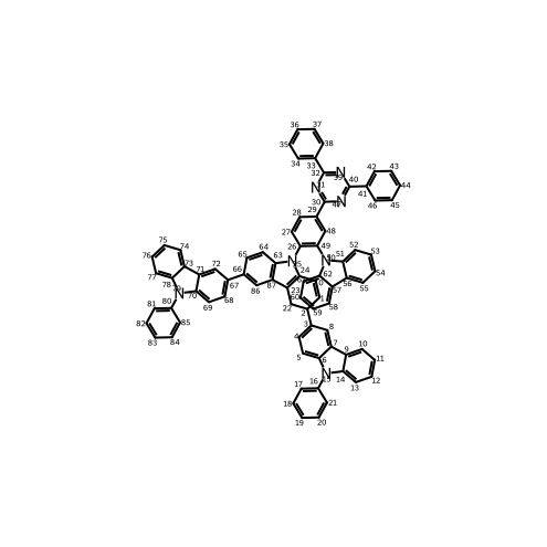 C1=CC(c2ccc3c(c2)c2ccccc2n3-c2ccccc2)Cc2c1n(-c1ccc(-c3nc(-c4ccccc4)nc(-c4ccccc4)n3)cc1-n1c3ccccc3c3ccccc31)c1ccc(-c3ccc4c(c3)c3ccccc3n4-c3ccccc3)cc21